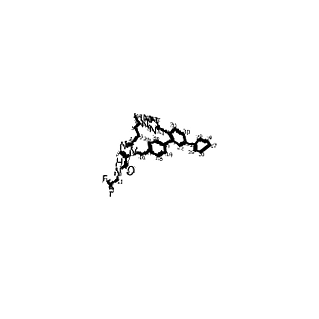 CCCCc1ncc(C(=O)NCC(F)F)n1Cc1ccc(-c2cc(-c3ccccc3)ccc2-c2nn[nH]n2)cc1